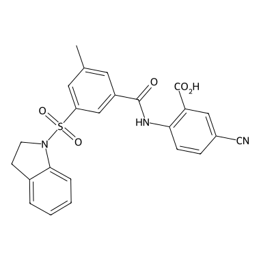 Cc1cc(C(=O)Nc2ccc(C#N)cc2C(=O)O)cc(S(=O)(=O)N2CCc3ccccc32)c1